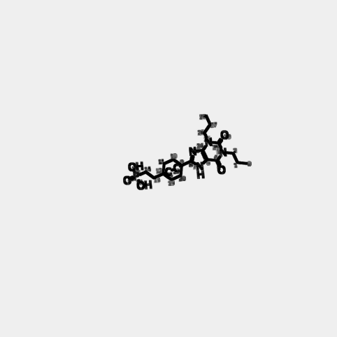 CCCn1c(=O)c2[nH]c(C34CCC(CCP(=O)(O)O)(CC3)CC4)nc2n(CCC)c1=O